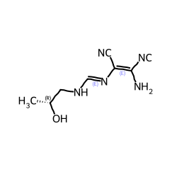 [C-]#[N+]/C(N)=C(C#N)/N=C/NC[C@@H](C)O